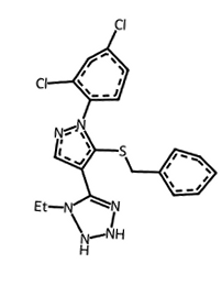 CCN1NNN=C1c1cnn(-c2ccc(Cl)cc2Cl)c1SCc1ccccc1